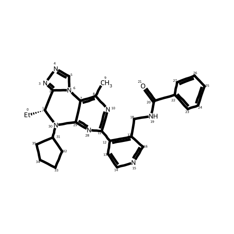 CC[C@@H]1c2nncn2-c2c(C)nc(-c3ccncc3CNC(=O)c3ccccc3)nc2N1C1CCCC1